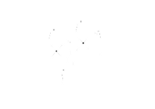 CCC(C)(C#N)OO.CCC(C)(C#N)OO.O=C(O)O.O=C(O)O